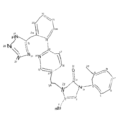 CCCCc1cn(-c2ccccc2C)c(=O)n1Cc1ccc(-c2ccccc2-c2nnn[nH]2)nc1